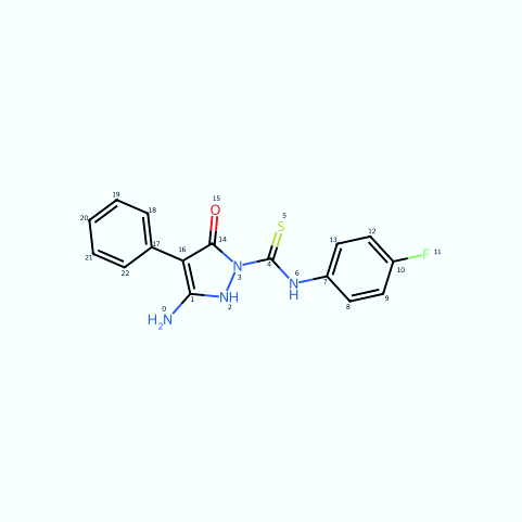 Nc1[nH]n(C(=S)Nc2ccc(F)cc2)c(=O)c1-c1ccccc1